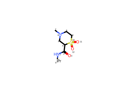 CC(C)NC(=O)C1CN(C)CCS1(=O)=O